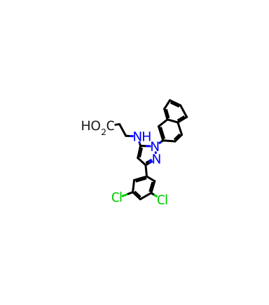 O=C(O)CCNc1cc(-c2cc(Cl)cc(Cl)c2)nn1-c1ccc2ccccc2c1